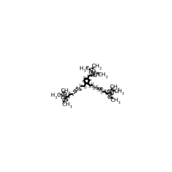 CCO[Si](CCCSSSSCCc1ccc(CC[Si](OCC)(OCC)OCC)cc1CCSSSSCCC[Si](OCC)(OCC)OCC)(OCC)OCC